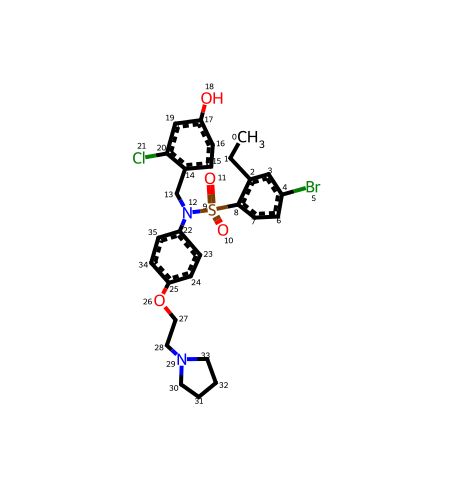 CCc1cc(Br)ccc1S(=O)(=O)N(Cc1ccc(O)cc1Cl)c1ccc(OCCN2CCCC2)cc1